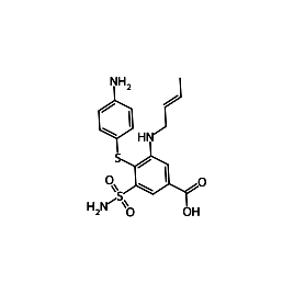 CC=CCNc1cc(C(=O)O)cc(S(N)(=O)=O)c1Sc1ccc(N)cc1